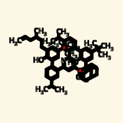 C=CCC(C)CCc1cc(C(C)(C)C)cc(-c2ccc(C(C)C)cc2-c2cc(OC)cc(-c3cc(C(C)C)ccc3-c3cc(C(C)(C)C)cc(C45CC6CC(CC(C6)C4)C5)c3O)n2)c1O